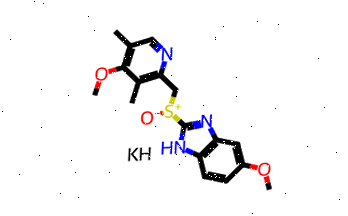 COc1ccc2[nH]c([S+]([O-])Cc3ncc(C)c(OC)c3C)nc2c1.[KH]